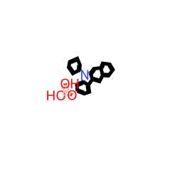 OB(O)Oc1ccc2c3cc4ccccc4cc3n(-c3ccccc3)c2c1